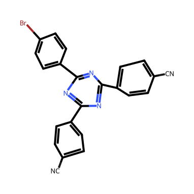 N#Cc1ccc(-c2nc(-c3ccc(Br)cc3)nc(-c3ccc(C#N)cc3)n2)cc1